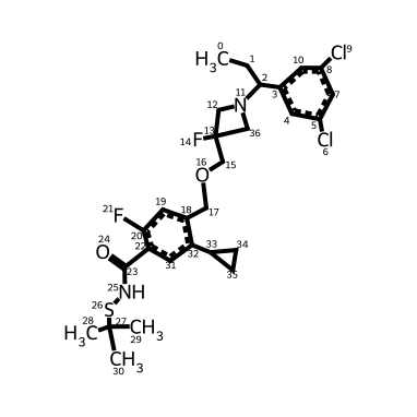 CCC(c1cc(Cl)cc(Cl)c1)N1CC(F)(COCc2cc(F)c(C(=O)NSC(C)(C)C)cc2C2CC2)C1